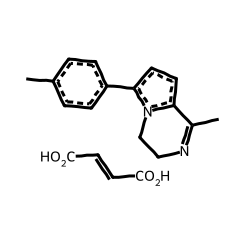 CC1=NCCn2c1ccc2-c1ccc(C)cc1.O=C(O)C=CC(=O)O